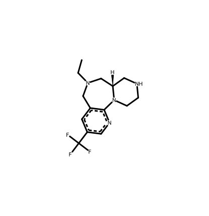 CCN1Cc2cc(C(F)(F)F)cnc2N2CCNC[C@H]2C1